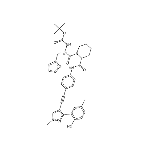 Cc1ccc(O)c(-c2nn(C)cc2C#Cc2ccc(NC(=O)C3CCCCN3C(=O)[C@H](Cc3ccco3)NC(=O)OC(C)(C)C)cc2)c1